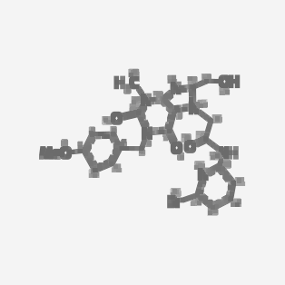 COc1ccc(Cn2c(=O)c3c(nc(CO)n3CC(=O)Nc3cccc(Br)n3)n(C)c2=O)cc1